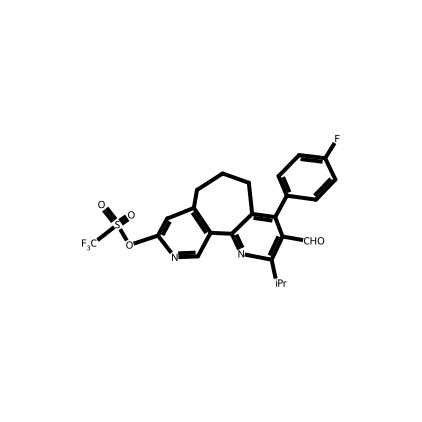 CC(C)c1nc2c(c(-c3ccc(F)cc3)c1C=O)CCCc1cc(OS(=O)(=O)C(F)(F)F)ncc1-2